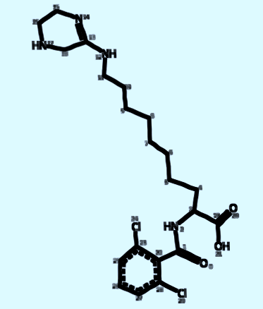 O=C(NC(CCCCCCCCNC1=NCCNC1)C(=O)O)c1c(Cl)cccc1Cl